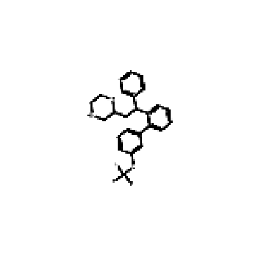 FC(F)(F)Oc1cccc(-c2ccccc2C(CC2CNCCO2)c2ccccc2)c1